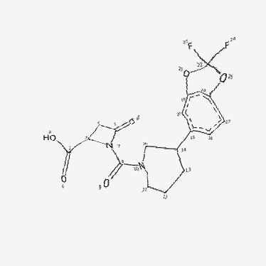 O=C(O)C1CC(=O)N1C(=O)N1CCCC(c2ccc3c(c2)OC(F)(F)O3)C1